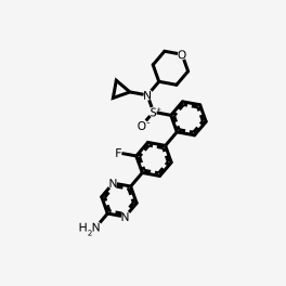 Nc1cnc(-c2ccc(-c3ccccc3[S+]([O-])N(C3CCOCC3)C3CC3)cc2F)cn1